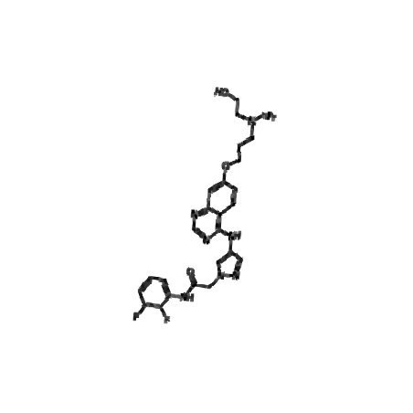 CCCN(CCO)CCCOc1ccc2c(Nc3cnn(CC(=O)Nc4cccc(F)c4F)c3)ncnc2c1